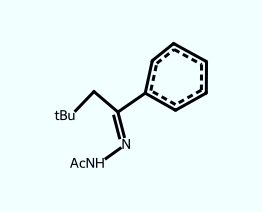 CC(=O)NN=C(CC(C)(C)C)c1ccccc1